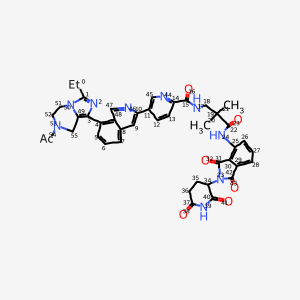 CCc1nc(-c2cccc3cc(-c4ccc(C(=O)NCC(C)(C)C(=O)Nc5cccc6c5C(=O)N(C5CCC(=O)NC5=O)C6=O)nc4)ncc23)c2n1CCN(C(C)=O)C2